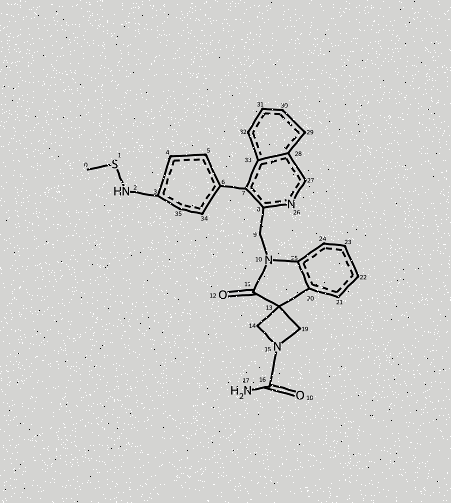 CSNc1ccc(-c2c(CN3C(=O)C4(CN(C(N)=O)C4)c4ccccc43)ncc3ccccc23)cc1